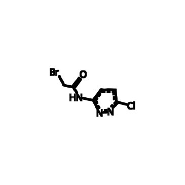 O=C(CBr)Nc1ccc(Cl)nn1